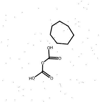 C1CCCCCC1.O=C(O)OC(=O)O